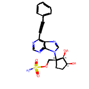 NS(=O)(=O)OC[C@]1(n2cnc3c(C#Cc4ccccc4)ncnc32)CC[C@H](O)[C@@H]1O